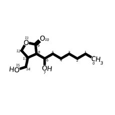 CCCCCCC(O)C1C(=O)OCC1CO